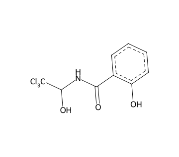 O=C(NC(O)C(Cl)(Cl)Cl)c1ccccc1O